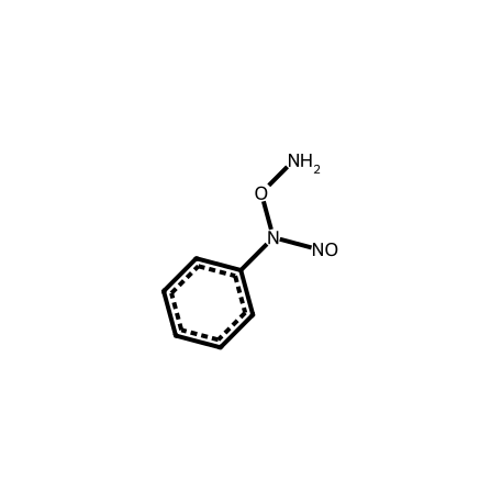 NON(N=O)c1ccccc1